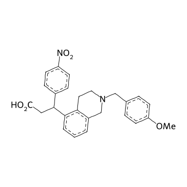 COc1ccc(CN2CCc3c(cccc3C(CC(=O)O)c3ccc([N+](=O)[O-])cc3)C2)cc1